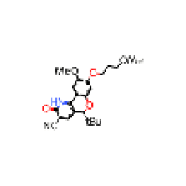 COCCCOc1cc2c(cc1OC)-c1[nH]c(=O)c(C#N)cc1C(C(C)(C)C)O2